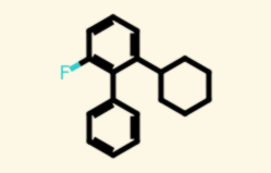 Fc1cccc(C2CCCCC2)c1-c1ccccc1